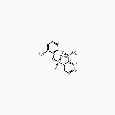 Nc1ccccc1OS(=O)(=O)c1ccccc1[N+](=O)[O-]